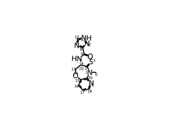 CN1C(=S)[C@@H](NC(=O)c2nc[nH]n2)COc2cccnc21